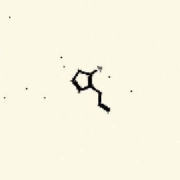 C=CCC1=[C]([W])CC=C1